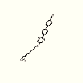 CCC=CCCCCOc1cnc(-c2ccc(-c3ccc(C#N)cc3)cc2)nc1